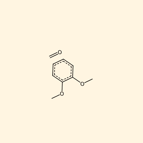 C=O.COc1ccccc1OC